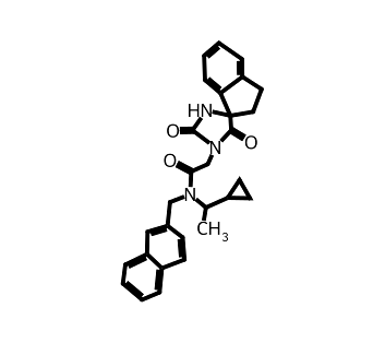 CC(C1CC1)N(Cc1ccc2ccccc2c1)C(=O)CN1C(=O)NC2(CCc3ccccc32)C1=O